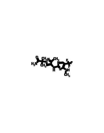 CNc1nc(Nc2cn(C(C)(C)C(N)=O)nc2C)ncc1C(F)(F)F